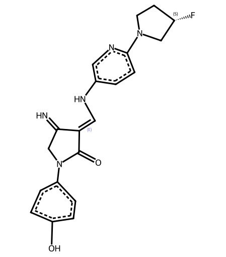 N=C1CN(c2ccc(O)cc2)C(=O)/C1=C/Nc1ccc(N2CC[C@H](F)C2)nc1